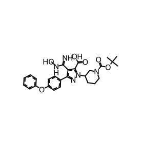 CC(C)(C)OC(=O)N1CCCC(n2nc(-c3ccc(Oc4ccccc4)cc3)c(C(=N)NO)c2C(=O)O)C1